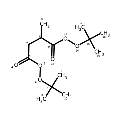 CC(CC(=O)OOC(C)(C)C)C(=O)OOC(C)(C)C